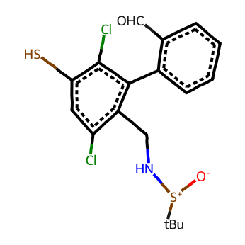 CC(C)(C)[S+]([O-])NCc1c(Cl)cc(S)c(Cl)c1-c1ccccc1C=O